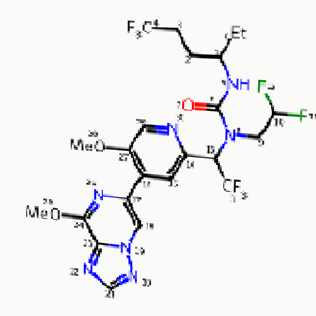 CCC(CCC(F)(F)F)NC(=O)N(CC(F)F)C(c1cc(-c2cn3ncnc3c(OC)n2)c(OC)cn1)C(F)(F)F